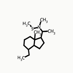 CCC1CCCC2(C)C1CCC2C(C)N(C)SC